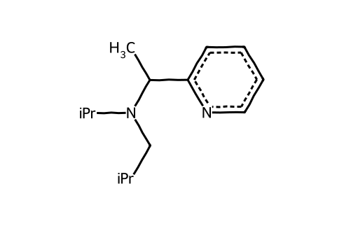 CC(C)CN(C(C)C)C(C)c1ccccn1